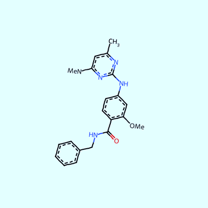 CNc1cc(C)nc(Nc2ccc(C(=O)NCc3ccccc3)c(OC)c2)n1